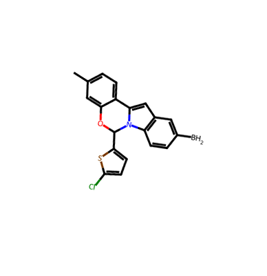 Bc1ccc2c(c1)cc1n2C(c2ccc(Cl)s2)Oc2cc(C)ccc2-1